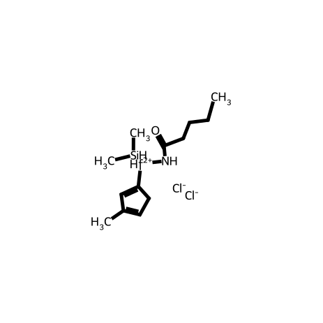 CCCCC(=O)[NH][Hf+2]([C]1=CC(C)=CC1)[SiH](C)C.[Cl-].[Cl-]